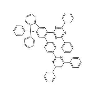 c1ccc(-c2cc(-c3ccccc3)nc(-c3ccc(-c4cc5c(cc4-c4nc(-c6ccccc6)nc(-c6ccccc6)n4)-c4ccccc4C5(c4ccccc4)c4ccccc4)cc3)n2)cc1